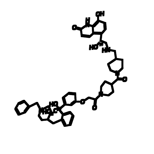 O=C(COc1cccc([C@@](O)(C(=O)O)c2ccccc2CC2CCN(Cc3ccccc3)CC2)c1)N1CCC(C(=O)N2CCC(CNC[C@H](O)c3ccc(O)c4[nH]c(=O)ccc34)CC2)CC1